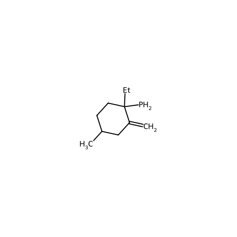 C=C1CC(C)CCC1(P)CC